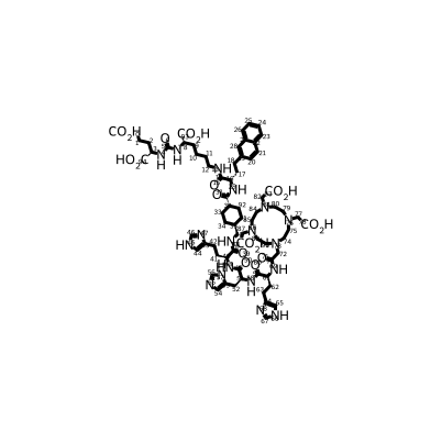 O=C(O)CC[C@H](NC(=O)N[C@@H](CCCCNC(=O)[C@H](CCc1ccc2ccccc2c1)NC(=O)[C@H]1CC[C@H](CNC(=O)[C@H](CCc2c[nH]cn2)NC(=O)[C@H](Cc2cnc[nH]2)NC(=O)[C@H](CCc2c[nH]cn2)NC(=O)CN2CCN(CC(=O)O)CCN(CC(=O)O)CCN(CC(=O)O)CC2)CC1)C(=O)O)C(=O)O